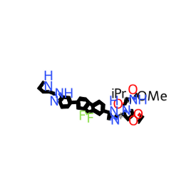 COC(=O)N[C@H](C(=O)N1CC2(C[C@@H]1c1ncc(-c3ccc4c(c3)C(F)(F)c3cc(-c5ccc6nc(C7CCCN7)[nH]c6c5)ccc3-4)[nH]1)OCCO2)C(C)C